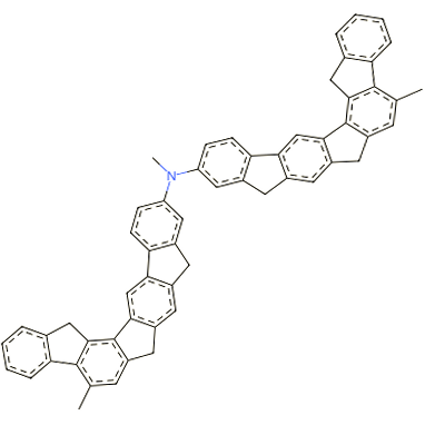 Cc1cc2c(c3c1-c1ccccc1C3)-c1cc3c(cc1C2)Cc1cc(N(C)c2ccc4c(c2)Cc2cc5c(cc2-4)-c2c(cc(C)c4c2Cc2ccccc2-4)C5)ccc1-3